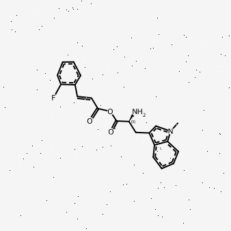 Cn1cc(C[C@H](N)C(=O)OC(=O)C=Cc2ccccc2F)c2ccccc21